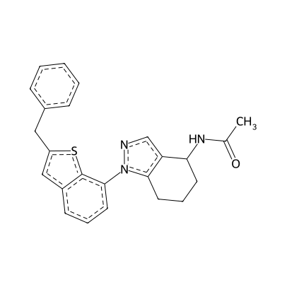 CC(=O)NC1CCCc2c1cnn2-c1cccc2cc(Cc3ccccc3)sc12